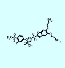 NCCOc1cc2cc(S(=O)(=O)NCP(=O)(O)Oc3ccc(S(=O)(=O)C(F)(F)F)c(F)c3)sc2cc1OCCN